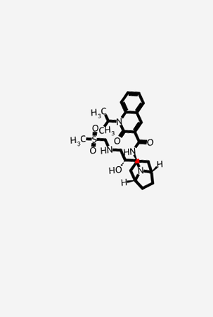 CC(C)n1c(=O)c(C(=O)N[C@@H]2C[C@H]3CC[C@@H](C2)N3C[C@H](O)CNCS(C)(=O)=O)cc2ccccc21